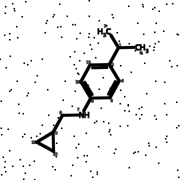 CC(C)c1ccc(NCC2CC2)cc1